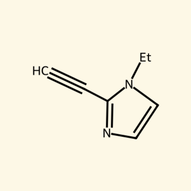 C#Cc1nccn1CC